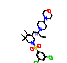 C=C/C(=C\C1=C(C)C(C)(C)CN(S(=O)(=O)c2cc(Cl)cc(Cl)c2)C1)N1CCC(N2CCOCC2)CC1